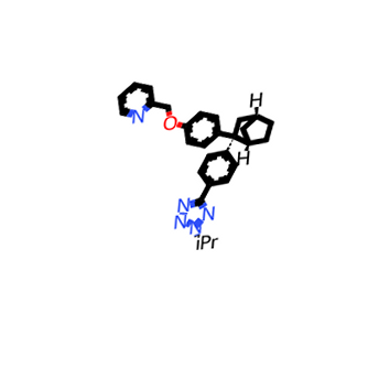 CC(C)n1nnc(-c2ccc([C@]3(c4ccc(OCc5ccccn5)cc4)C[C@@H]4CC[C@H]3C4)cc2)n1